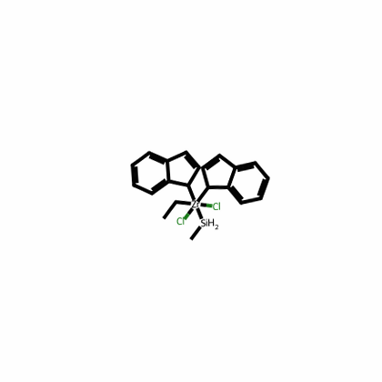 C[CH2][Zr]([Cl])([Cl])([SiH2]C)([CH]1C=Cc2ccccc21)[CH]1C=Cc2ccccc21